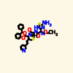 CCO/N=C(/C(=O)NC1C(=O)N2C(C(=O)OC(c3ccccc3)c3ccccc3)=C(/C=C/c3cccnc3)CS[C@H]12)c1nsc(N)n1